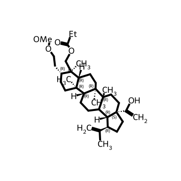 C=C(C)[C@@H]1CC[C@]2(C(=C)O)CC[C@]3(C)C(CC[C@@H]4[C@@]5(C)CC[C@H](CCOOC)[C@@](C)(COC(=O)CC)[C@@H]5CC[C@]43C)[C@@H]12